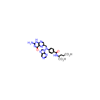 Nc1nc(=O)c2nc(CN(c3ccc(C(=O)N[C@@H](CCC(=O)O)C(=O)O)cc3)n3cnc4cncnc43)cnc2[nH]1